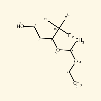 CCOC(C)OC(CCO)C(F)(F)F